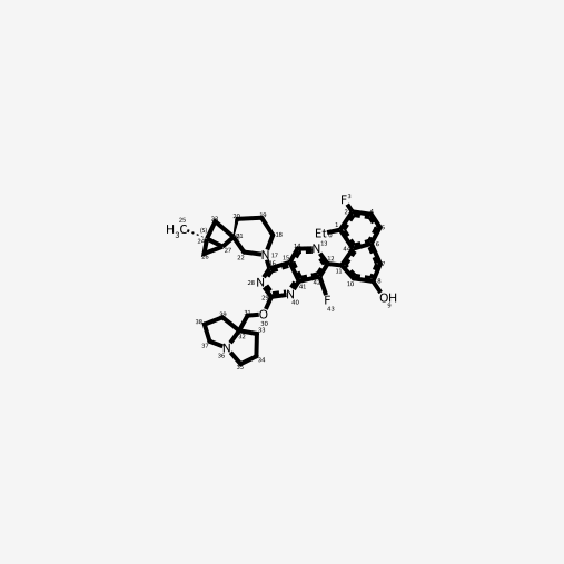 CCc1c(F)ccc2cc(O)cc(-c3ncc4c(N5CCC[C@]6(C5)C[C@]5(C)CC56)nc(OCC56CCCN5CCC6)nc4c3F)c12